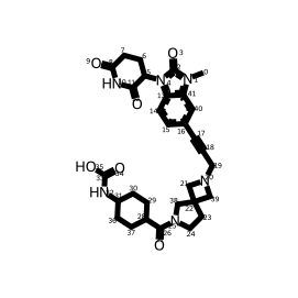 Cn1c(=O)n(C2CCC(=O)NC2=O)c2ccc(C#CCN3CC4(CCN(C(=O)C5CCC(NC(=O)O)CC5)C4)C3)cc21